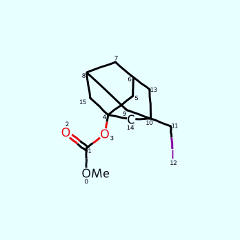 COC(=O)OC12CC3CC(CC(CI)(C3)C1)C2